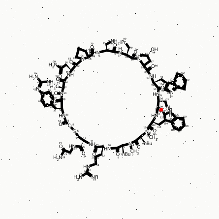 CCCC[C@H]1C(=O)N(C)[C@@H](CCCC)C(=O)N[C@@H](CCCNC(=N)N)C(=O)N[C@H](C(=O)NCC(N)=O)CSCC(=O)N[C@@H](Cc2ccc(N=C(N)N)cc2)C(=O)N(C)[C@@H](C)C(=O)N[C@@H](CC(N)=O)C(=O)N2CCC[C@H]2C(=O)N[C@@H](CN)C(=O)N[C@@H](CC(C)C)C(=O)N2C[C@H](O)CC2C(=O)N[C@@H](Cc2c[nH]c3ccccc23)C(=O)N[C@@H](CO)C(=O)N[C@@H](CC2c3ccccc3NC2C)C(=O)N1C